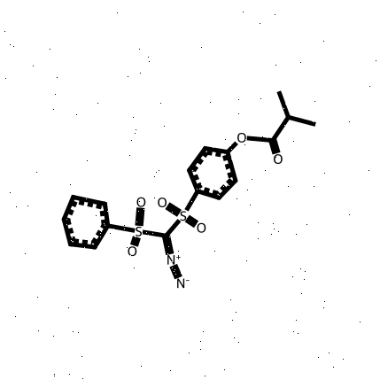 CC(C)C(=O)Oc1ccc(S(=O)(=O)C(=[N+]=[N-])S(=O)(=O)c2ccccc2)cc1